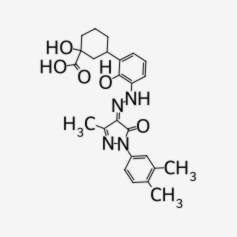 CC1=NN(c2ccc(C)c(C)c2)C(=O)C1=NNc1cccc(C2CCCC(O)(C(=O)O)C2)c1O